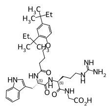 CCC(C)(C)c1ccc(OCCCC(=O)N[C@@H](Cc2c[nH]c3ccccc23)C(=O)N[C@@H](CCCNC(=N)N)C(=O)NCC(=O)O)c(C(C)(C)CC)c1